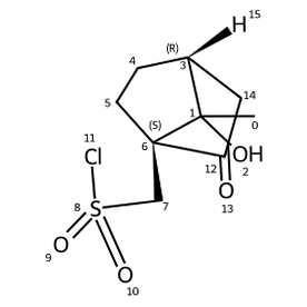 CC1(O)[C@@H]2CC[C@@]1(CS(=O)(=O)Cl)C(=O)C2